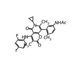 CC(=O)Nc1ccc(C)c(-c2c(C)n(C3CC3)c(=O)c3c(Nc4ccc(I)cc4F)c(C)c(=O)oc23)c1